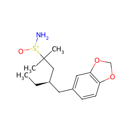 CC[C@H](Cc1ccc2c(c1)OCO2)CC(C)(C)[S+](N)[O-]